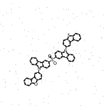 O=S(=O)(c1ccc2c(c1)c1ccccc1n2-c1ccc2oc3ccccc3c2c1)c1ccc2c(c1)c1ccccc1n2-c1ccc2sc3ccccc3c2c1